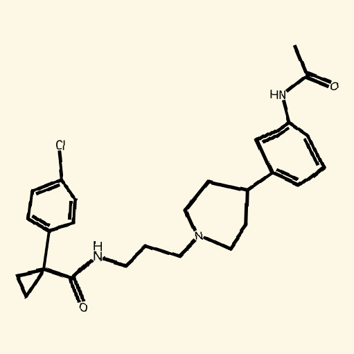 CC(=O)Nc1cccc(C2CCN(CCCNC(=O)C3(c4ccc(Cl)cc4)CC3)CC2)c1